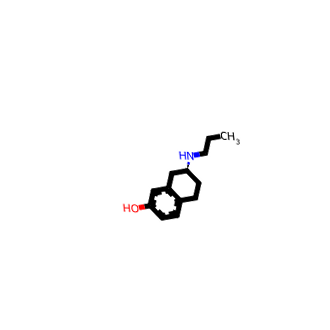 CCCN[C@@H]1CCc2ccc(O)cc2C1